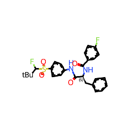 CC(C)(C)C(F)S(=O)(=O)c1ccc(NC(=O)[C@H](Cc2ccccc2)NC(=O)c2ccc(F)cc2)cc1